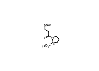 CCOC(=O)[C@@H]1CCCN1C(=O)CCSC